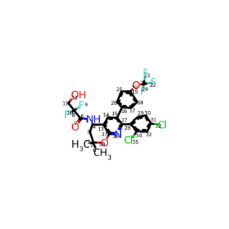 CC1(C)C[C@@H](NC(=O)C(F)(F)CO)c2cc(-c3ccc(OC(F)(F)F)cc3)c(-c3ccc(Cl)cc3Cl)nc2O1